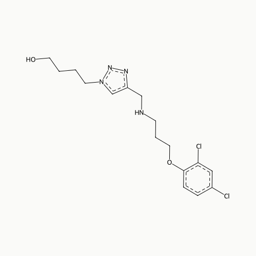 OCCCCn1cc(CNCCCOc2ccc(Cl)cc2Cl)nn1